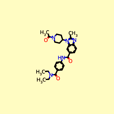 CCN(CC)C(=O)c1ccc(NC(=O)c2ccc3nc(C)n(C4CCN(C(C)=O)CC4)c3c2)cc1